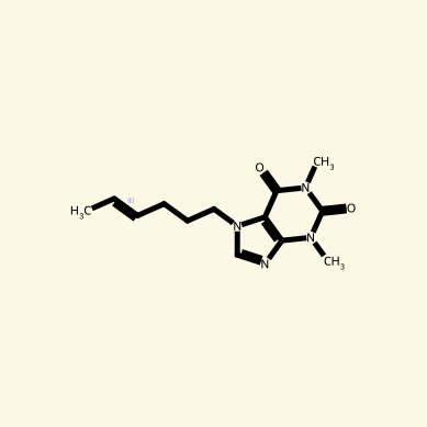 C/C=C/CCCn1cnc2c1c(=O)n(C)c(=O)n2C